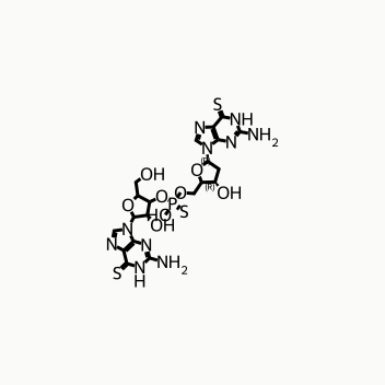 Nc1nc2c(ncn2C2OC(CO)C(OP(O)(=S)OCC3O[C@@H](n4cnc5c(=S)[nH]c(N)nc54)C[C@H]3O)C2O)c(=S)[nH]1